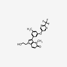 Cc1cc(Oc2cnc(C(F)(F)F)nc2)cc(-c2cn(CCO)c3ccc(=O)n(C)c23)c1